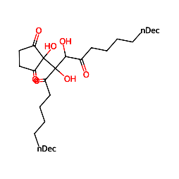 CCCCCCCCCCCCCCC(=O)C(O)C(O)(C(=O)CCCCCCCCCCCCCC)C1(O)C(=O)CCC1=O